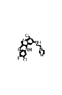 N#Cc1cnc2c(Cl)cc(NCCn3ccnc3)cc2c1Nc1ccc(F)c(Cl)c1